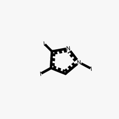 Ic1cn(I)nc1I